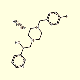 Br.Br.Br.OC(CN1CCN(Cc2ccc(F)cc2)CC1)c1cccnc1